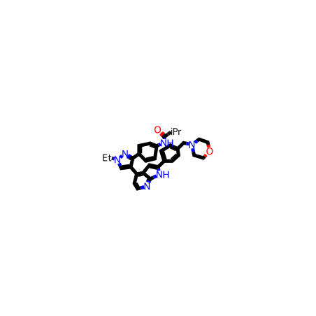 CCn1cc(-c2ccnc3[nH]c(-c4ccc(CN5CCOCC5)cc4)cc23)c(-c2ccc(NC(=O)C(C)C)cc2)n1